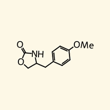 COc1ccc(CC2COC(=O)N2)cc1